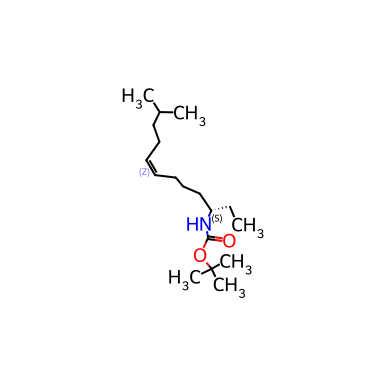 CC[C@@H](CCC/C=C\CCC(C)C)NC(=O)OC(C)(C)C